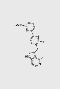 COc1cc[c]c(-c2ccc(Cc3c[nH]c4ncnc(C)c34)c(F)n2)n1